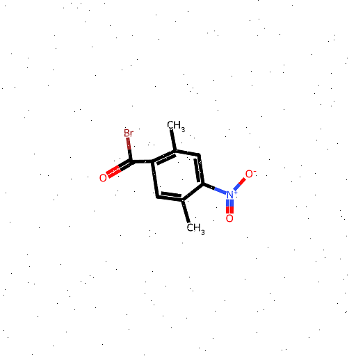 Cc1cc([N+](=O)[O-])c(C)cc1C(=O)Br